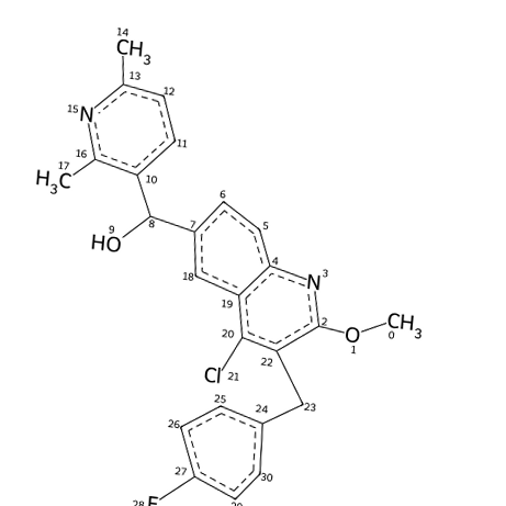 COc1nc2ccc(C(O)c3ccc(C)nc3C)cc2c(Cl)c1Cc1ccc(F)cc1